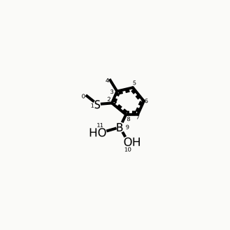 CSc1c(C)cccc1B(O)O